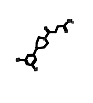 CC(=O)CCC(=O)N1CCN(c2cc(Cl)cc(Cl)c2)CC1